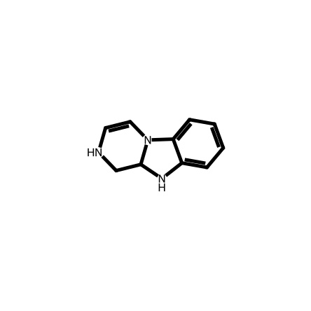 C1=CN2c3ccccc3NC2CN1